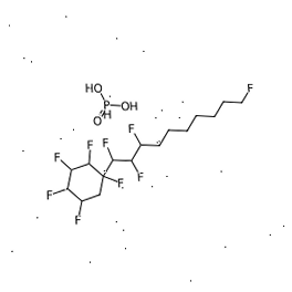 FCCCCCCCC(F)C(F)C(F)C1(F)CC(F)C(F)C(F)C1F.O=[PH](O)O